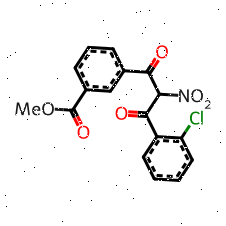 COC(=O)c1cccc(C(=O)C(C(=O)c2ccccc2Cl)[N+](=O)[O-])c1